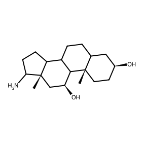 C[C@]12CC[C@H](O)CC1CCC1C3CCC(N)[C@@]3(C)C[C@H](O)C12